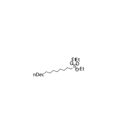 CCCCCCCCCCCCCCCCC[CH2][Ti]([O]CC)([O]CC)[O]CC